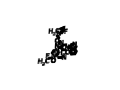 C=C(F)C(=O)N1CCN(c2nc(OCCN(C)CC3(F)CC3)nc3c2CCN(c2cncc4cccc(C)c24)C3)C[C@@H]1CC#N